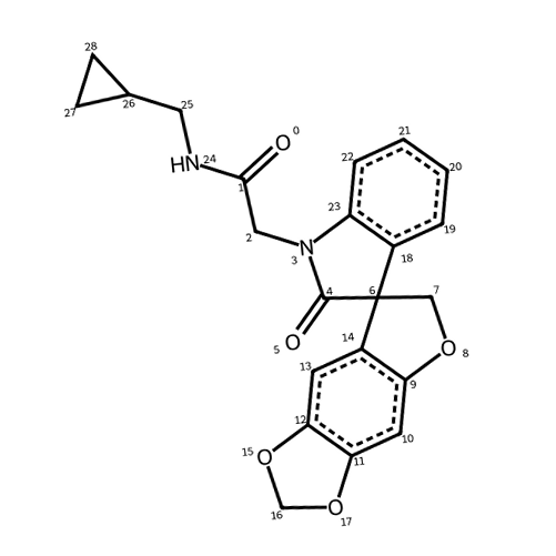 O=C(CN1C(=O)C2(COc3cc4c(cc32)OCO4)c2ccccc21)NCC1CC1